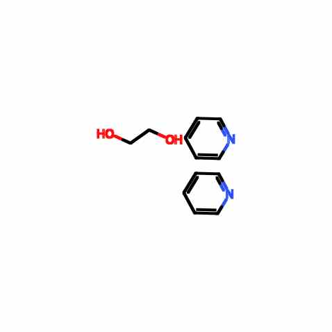 OCCO.c1ccncc1.c1ccncc1